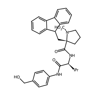 CC(C)[C@H](NC(=O)[C@@]1(CC2c3ccccc3-c3ccccc32)CCCN1C(=O)O)C(=O)Nc1ccc(CO)cc1